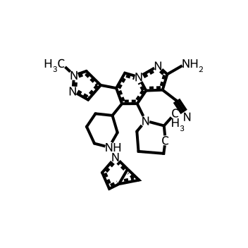 CC1CCCCN1c1c(C2CCCNC2)c(-c2cnn(C)c2)cn2nc(N)c(C#N)c12.c1cc2cc-2n1